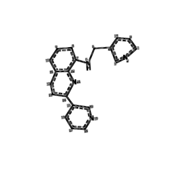 c1cncc(CNc2cccc3ccc(-c4cccnc4)nc23)c1